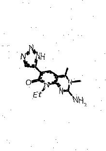 CCn1c(=O)c(-c2cnn[nH]2)cc2c1=NC(N)N(C)C=2C